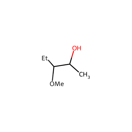 [CH2]CC(OC)C(C)O